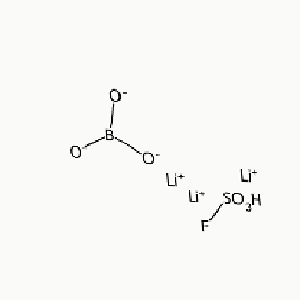 O=S(=O)(O)F.[Li+].[Li+].[Li+].[O-]B([O-])[O-]